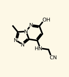 Cc1nnc2c(NCC#N)cc(O)nn12